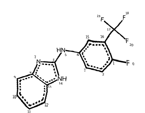 Fc1ccc(Nc2nc3ccccc3[nH]2)cc1C(F)(F)F